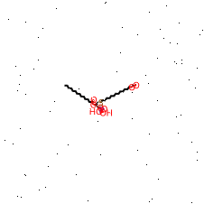 CCCCCCCCCCCCCC(=O)O[C@H](COP(=O)(O)O)CSCCCCCCCCCCCCCOC=O